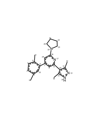 Cc1ccc(C)c(-c2cc(-c3c(C)n[nH]c3C)nc(N3CCCC3)c2)c1